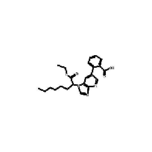 CCCCCCC(C(=O)OCC)n1cnc2ncc(-c3ccccc3C(=O)O)cc21